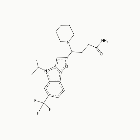 CC(C)n1c2cc(C(F)(F)F)ccc2c2oc(C(CCC(N)=O)N3CCCCC3)cc21